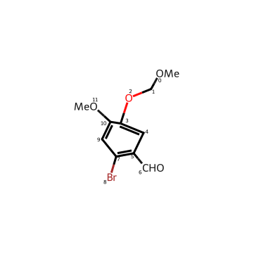 COCOc1cc(C=O)c(Br)cc1OC